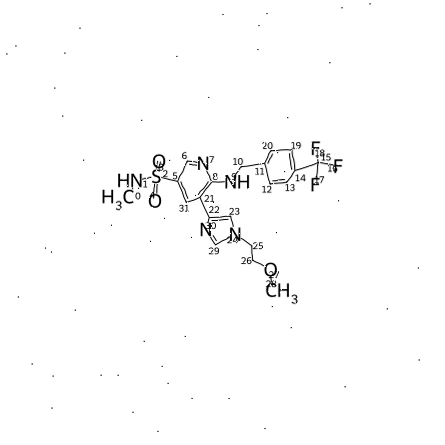 CNS(=O)(=O)c1cnc(NCc2ccc(C(F)(F)F)cc2)c(-c2cn(CCOC)cn2)c1